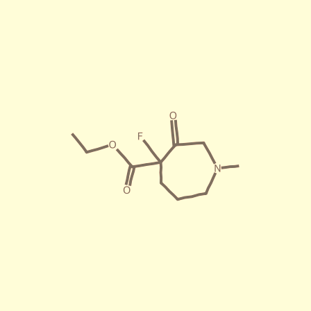 CCOC(=O)C1(F)CCCN(C)CC1=O